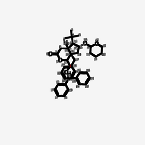 CC(C)(C)[C@@H]1[C@H]2CC(=O)OC(CO[SiH](c3ccccc3)c3ccccc3)[C@@]2(Cc2ccccc2)C[C@H]1OC1CCCCO1